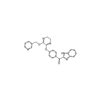 O=C(c1ccc(OC2=NCCN=C2OCc2cccnc2)cc1)c1nc2ccccc2[nH]1